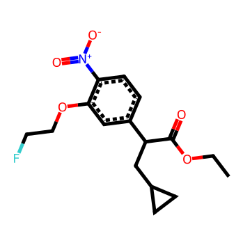 CCOC(=O)C(CC1CC1)c1ccc([N+](=O)[O-])c(OCCF)c1